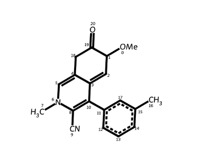 COC1C=C2C(=CN(C)C(C#N)=C2c2cccc(C)c2)CC1=O